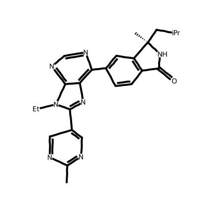 CCn1c(-c2cnc(C)nc2)nc2c(-c3ccc4c(c3)[C@@](C)(CC(C)C)NC4=O)ncnc21